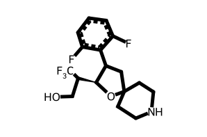 OCC([C@@H]1OC2(CCNCC2)CC1c1c(F)cccc1F)C(F)(F)F